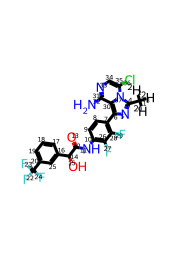 [2H]C([2H])([2H])c1nc(-c2ccc(NC(=O)C(O)c3cccc(C(F)(F)F)c3)c(F)c2F)c2c(N)ncc(Cl)n12